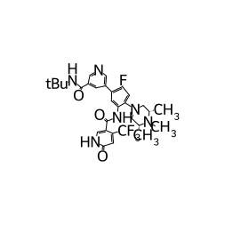 C[C@@H]1CN(c2cc(F)c(-c3cncc(C(=O)NC(C)(C)C)c3)cc2NC(=O)c2c[nH]c(=O)cc2C(F)(F)F)C[C@H](C)N1C